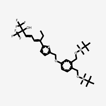 CCC(=CC=CC(O)(C(F)(F)F)C(F)(F)F)c1ccc(COc2ccc(CO[Si](C)(C)C(C)(C)C)c(CO[Si](C)(C)C(C)(C)C)c2)s1